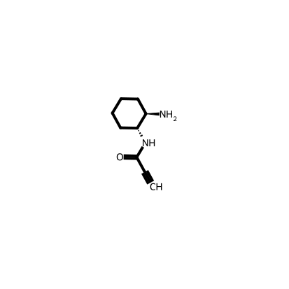 C#CC(=O)N[C@@H]1CCCC[C@H]1N